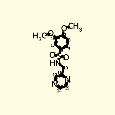 COc1ccc(S(=O)(=O)NCc2cnccn2)cc1OC